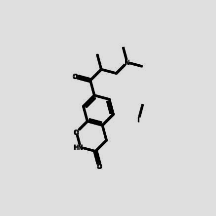 CC(CN(C)C)C(=O)c1ccc2c(c1)ONC(=O)C2.CI